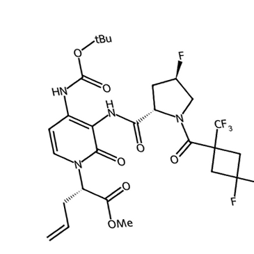 C=CC[C@@H](C(=O)OC)n1ccc(NC(=O)OC(C)(C)C)c(NC(=O)[C@@H]2C[C@@H](F)CN2C(=O)C2(C(F)(F)F)CC(F)(F)C2)c1=O